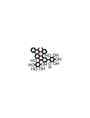 Cc1cccc(-c2c3ccccc3c(-c3c(O)c(O)c(O)c(O)c3O)c3ccc(-c4c(O)c(O)c(O)c(O)c4O)cc23)c1-c1ccc2ccccc2c1C